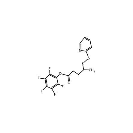 CC(CCC(=O)Oc1c(F)c(F)c(F)c(F)c1F)SSc1ccccn1